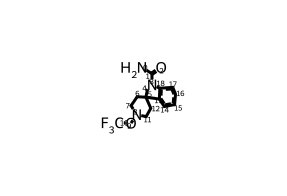 NC(=O)N1CC2(CCN(OC(F)(F)F)CC2)c2ccccc21